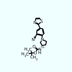 CC(C)(C)OC(=O)N[C@H]1CCN(c2ccc(-c3nccs3)cc2C#N)C1